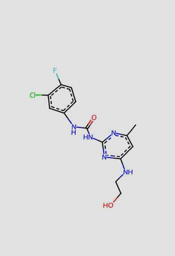 Cc1cc(NCCO)nc(NC(=O)Nc2ccc(F)c(Cl)c2)n1